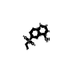 CCS(=O)(=O)c1ccc2nccc(O)c2c1